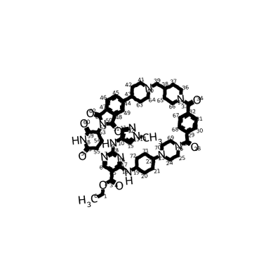 CCOC(=O)c1cnc(Nc2cnn(C)c2)nc1NC1CCC(N2CCN(C(=O)c3ccc(C(=O)N4CCC(CN5CCC(c6ccc7c(c6)C(=O)N(C6CCC(=O)NC6=O)C7=O)CC5)CC4)cc3)CC2)CC1